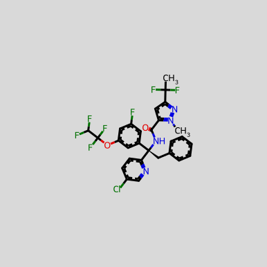 Cn1nc(C(C)(F)F)cc1C(=O)N[C@@](Cc1ccccc1)(c1cc(F)cc(OC(F)(F)C(F)F)c1)c1ccc(Cl)cn1